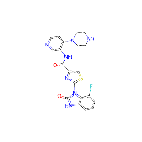 O=C(Nc1cnccc1N1CCNCC1)c1csc(-n2c(=O)[nH]c3cccc(F)c32)n1